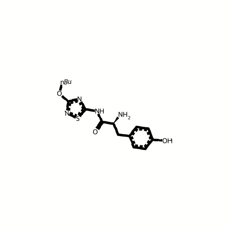 CCCCOc1nsc(NC(=O)[C@@H](N)Cc2ccc(O)cc2)n1